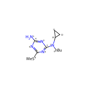 CCCCN(c1nc(N)nc(SC)n1)C1CC1